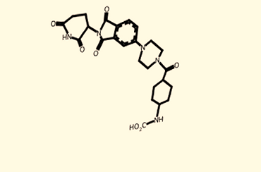 O=C(O)NC1CCC(C(=O)N2CCN(c3ccc4c(c3)C(=O)N(C3CCC(=O)NC3=O)C4=O)CC2)CC1